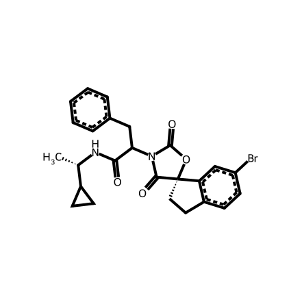 C[C@H](NC(=O)C(Cc1ccccc1)N1C(=O)O[C@]2(CCc3ccc(Br)cc32)C1=O)C1CC1